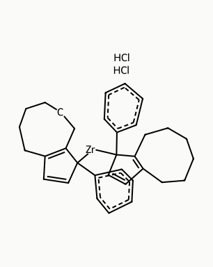 C1=C[C]([Zr][C]2(c3ccccc3)C=CC3=C2CCCCCC3)(c2ccccc2)C2=C1CCCCCC2.Cl.Cl